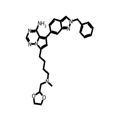 CN(CCCCc1cc(-c2ccc3cn(Cc4ccccc4)nc3c2)c2c(N)ncnn12)CC1OCCO1